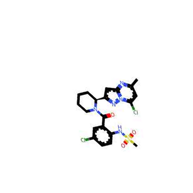 Cc1cc(Cl)n2nc([C@@H]3CCCCN3C(=O)c3cc(Cl)ccc3NS(C)(=O)=O)cc2n1